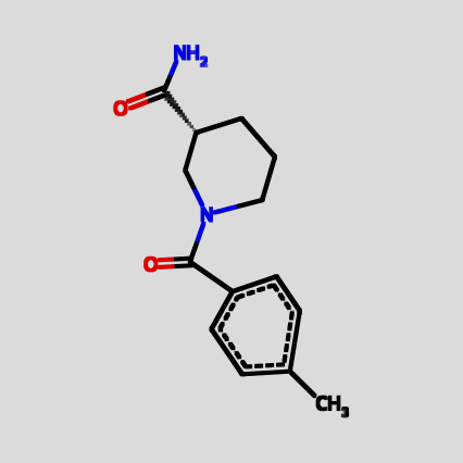 Cc1ccc(C(=O)N2CCC[C@@H](C(N)=O)C2)cc1